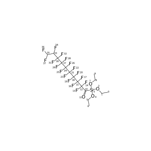 CCO[Si](OCC)(OCC)C(=O)C(F)(F)C(F)(F)C(F)(F)C(F)(F)C(F)(F)C(F)(F)C(F)(F)C(F)C(F)F